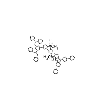 CC1(C)c2ccc(-c3cc(CC(c4ccccc4)c4ccccc4)cc(/C(=C\c4ccccc4)Cc4ccccc4)c3)cc2-c2cc3c(cc21)-c1ccc(N(c2ccc(-c4ccccc4)cc2)c2ccc(-c4ccccc4)cc2)cc1C3(C)C